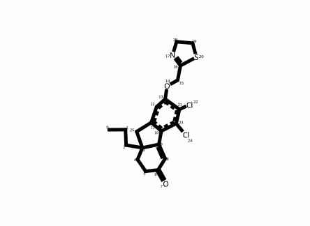 CCCC12CCC(=O)C=C1c1c(cc(OCC3=NCCS3)c(Cl)c1Cl)C2